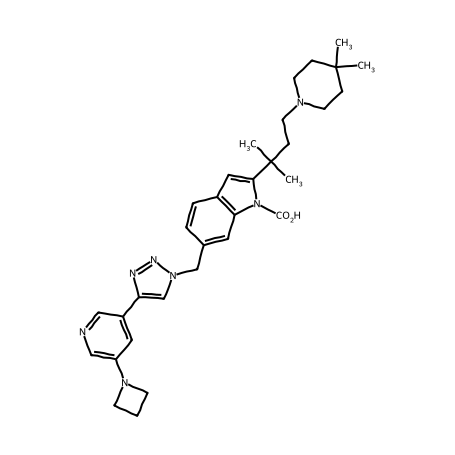 CC1(C)CCN(CCC(C)(C)c2cc3ccc(Cn4cc(-c5cncc(N6CCC6)c5)nn4)cc3n2C(=O)O)CC1